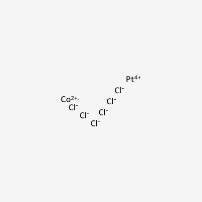 [Cl-].[Cl-].[Cl-].[Cl-].[Cl-].[Cl-].[Co+2].[Pt+4]